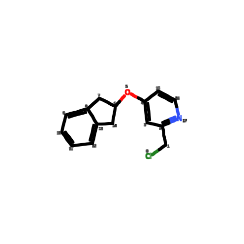 ClCc1cc(OC2Cc3ccccc3C2)ccn1